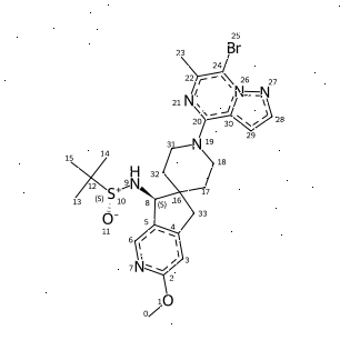 COc1cc2c(cn1)[C@@H](N[S@+]([O-])C(C)(C)C)C1(CCN(c3nc(C)c(Br)n4nccc34)CC1)C2